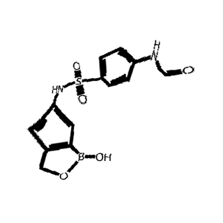 O=CNc1ccc(S(=O)(=O)Nc2ccc3c(c2)B(O)OC3)cc1